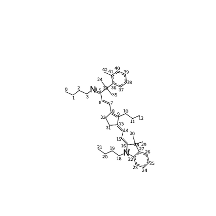 CCCC/N=C(\C=C\C1=C(CCC)C(=C/C=C2/N(CCCC)c3ccccc3C2(C)C)/CC1)C(C)(C)c1ccccc1C